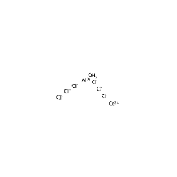 O.[Al+3].[Ce+3].[Cl-].[Cl-].[Cl-].[Cl-].[Cl-].[Cl-]